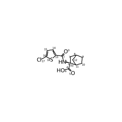 O=C(N[C@@]1(C(=O)O)CC2CCC1C2)c1ccc(Cl)s1